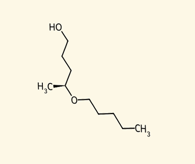 CCCCCO[C@@H](C)CCCO